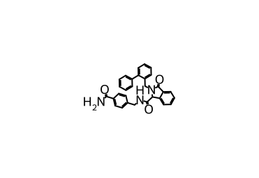 NC(=O)c1ccc(CNC(=O)C2c3ccccc3C(=O)N2Cc2ccccc2-c2ccccc2)cc1